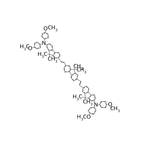 COc1ccc(N(c2ccc(OC)cc2)c2ccc3c(c2)C(C)(C)c2cc(/C=C/c4ccc5c(c4)C(C)(C)c4cc(/C=C/c6ccc7c(c6)C(C)(C)c6cc(N(c8ccc(OC)cc8)c8ccc(OC)cc8)ccc6-7)ccc4-5)ccc2-3)cc1